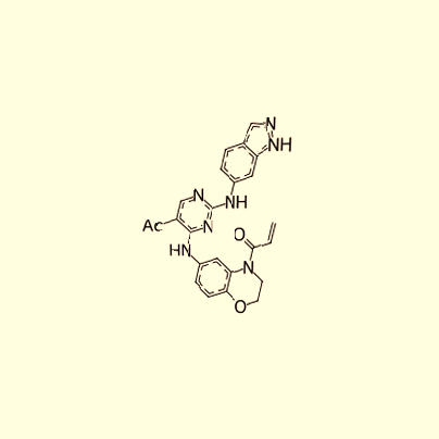 C=CC(=O)N1CCOc2ccc(Nc3nc(Nc4ccc5cn[nH]c5c4)ncc3C(C)=O)cc21